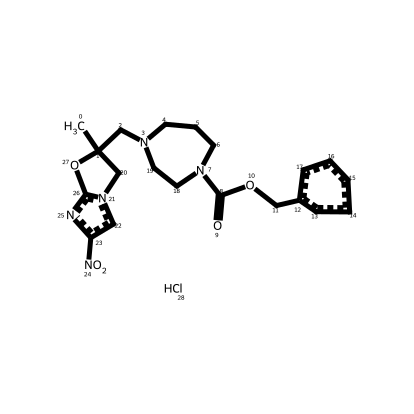 CC1(CN2CCCN(C(=O)OCc3ccccc3)CC2)Cn2cc([N+](=O)[O-])nc2O1.Cl